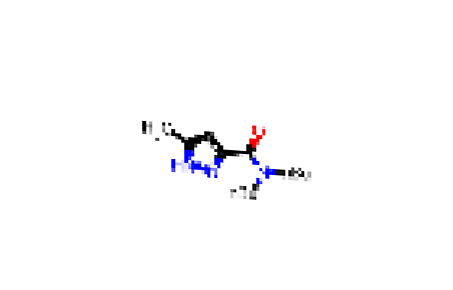 CCCCN(CCCC)C(=O)c1cc(C)[nH]n1